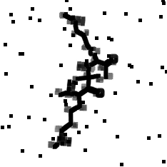 CNCCCCC(NC(C)(C)C(=O)C(CCCCNC)NC)C(C)=O